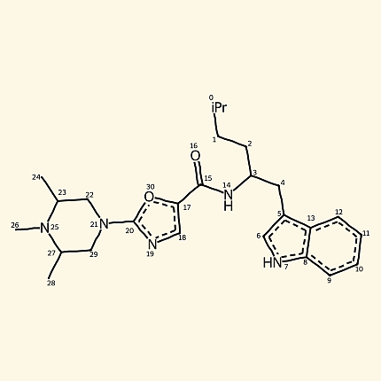 CC(C)CCC(Cc1c[nH]c2ccccc12)NC(=O)c1cnc(N2CC(C)N(C)C(C)C2)o1